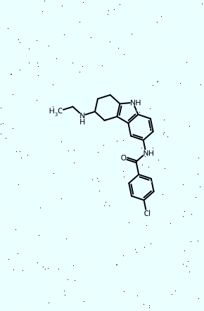 CCNC1CCc2[nH]c3ccc(NC(=O)c4ccc(Cl)cc4)cc3c2C1